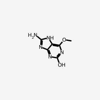 COc1nc(O)nc2nc(N)[nH]c12